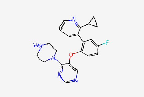 Fc1ccc(Oc2cncnc2N2CCNCC2)c(-c2cccnc2C2CC2)c1